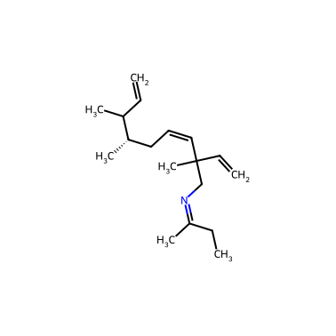 C=CC(C)[C@@H](C)C/C=C\C(C)(C=C)C/N=C(/C)CC